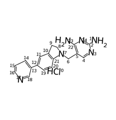 Cl.Nc1ncc(CN2CCc3cc(-c4cccnc4)ccc32)c(N)n1